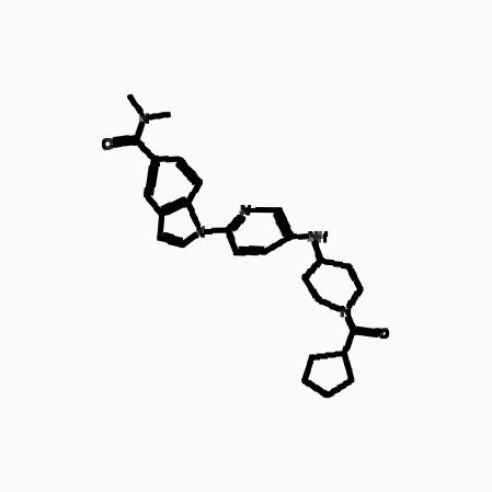 CN(C)C(=O)c1ccc2c(ccn2-c2ccc(NC3CCN(C(=O)C4CCCC4)CC3)cn2)c1